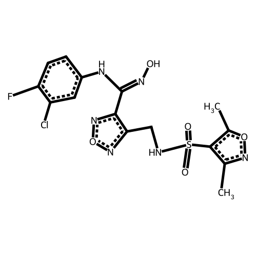 Cc1noc(C)c1S(=O)(=O)NCc1nonc1/C(=N/O)Nc1ccc(F)c(Cl)c1